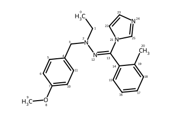 CCN(Cc1ccc(OC)cc1)N=C(c1ccccc1C)n1ccnc1